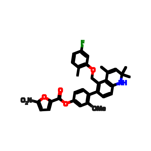 COc1cc(OC(=O)c2ccc([N+](=O)[O-])o2)ccc1-c1ccc2c(c1COc1cc(F)ccc1C)C(C)=CC(C)(C)N2